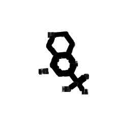 CCP(=O)(O)c1ccc2c(n1)CCNC2.Cl